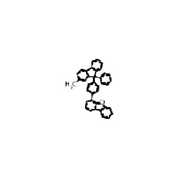 Cc1ccc2c(c1)C(c1ccccc1)(c1ccc(-c3cccc4c3oc3ccccc34)cc1)c1ccccc1-2